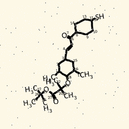 CC1CC(/C=C/C(=O)C2CCC(S)CC2)CC(C)C1OC(C)(C)C(=O)OC(C)(C)C